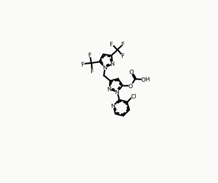 O=C(O)Oc1cc(Cn2nc(C(F)(F)F)cc2C(F)(F)F)nn1-c1ncccc1Cl